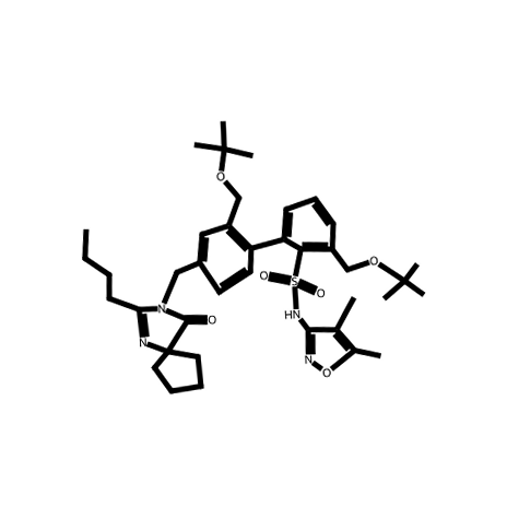 CCCCC1=NC2(CCCC2)C(=O)N1Cc1ccc(-c2cccc(COC(C)(C)C)c2S(=O)(=O)Nc2noc(C)c2C)c(COC(C)(C)C)c1